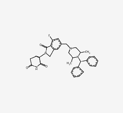 CC1CN(Cc2cc(F)c3c(c2)CN(C2CCC(=O)NC2=O)C3=O)CC(C)N1C(c1ccccc1)c1ccccc1